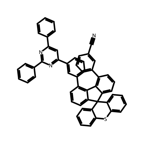 N#Cc1cccc(-c2cccc3c2-c2c(-c4cccc(-c5cc(-c6ccccc6)nc(-c6ccccc6)n5)c4)cccc2C32c3ccccc3Sc3ccccc32)c1